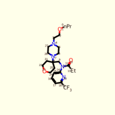 CCCOCCN1CCN(C2(CN(C(=O)CC)c3cccc(C(F)(F)F)n3)CCOCC2)CC1